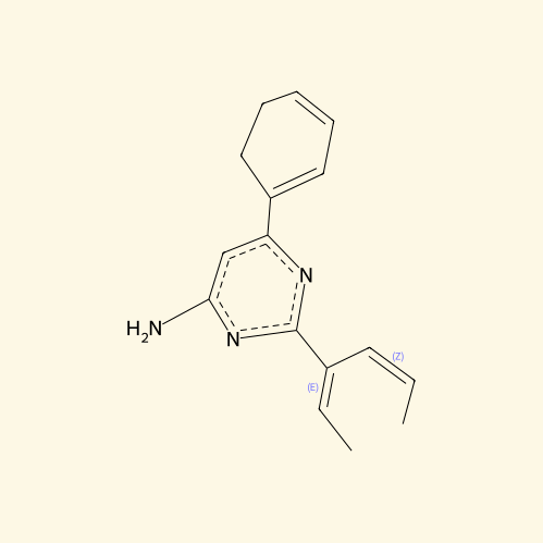 C/C=C\C(=C/C)c1nc(N)cc(C2=CC=CCC2)n1